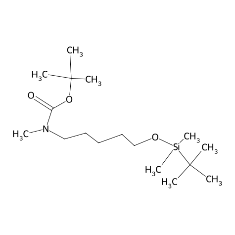 CN(CCCCCO[Si](C)(C)C(C)(C)C)C(=O)OC(C)(C)C